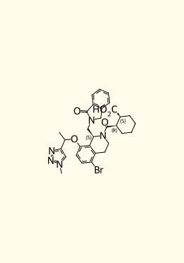 CC(Oc1ccc(Br)c2c1[C@@H](CN1Cc3ccccc3C1=O)N(C(=O)[C@@H]1CCCC[C@@H]1C(=O)O)CC2)c1cn(C)nn1